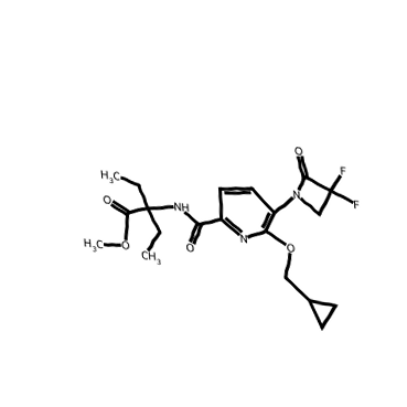 CCC(CC)(NC(=O)c1ccc(N2CC(F)(F)C2=O)c(OCC2CC2)n1)C(=O)OC